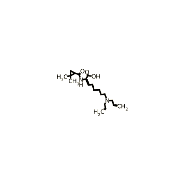 C=CCN(CC=C)CCCCC/C=C(/NC(=O)C1CC1(C)C)C(=O)O